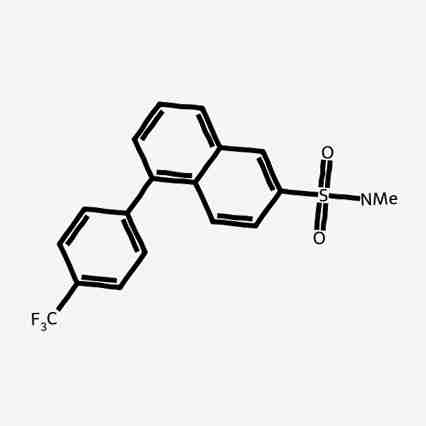 CNS(=O)(=O)c1ccc2c(-c3ccc(C(F)(F)F)cc3)cccc2c1